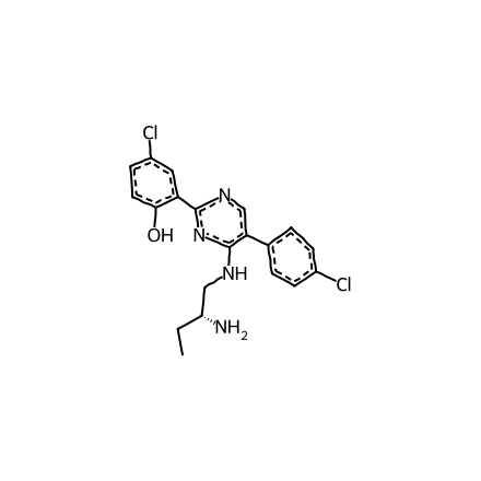 CC[C@@H](N)CNc1nc(-c2cc(Cl)ccc2O)ncc1-c1ccc(Cl)cc1